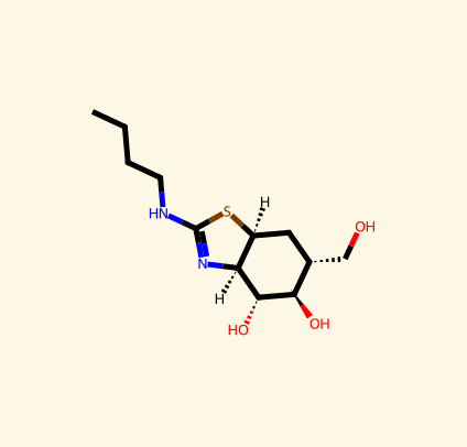 CCCCNC1=N[C@@H]2[C@@H](O)[C@H](O)[C@@H](CO)C[C@@H]2S1